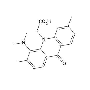 Cc1ccc2c(=O)c3ccc(C)c(N(C)C)c3n(CC(=O)O)c2c1